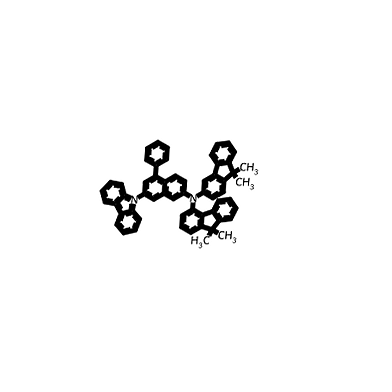 CC1(C)c2ccccc2-c2cc(N(c3ccc4c(-c5ccccc5)cc(-n5c6ccccc6c6ccccc65)cc4c3)c3cccc4c3-c3ccccc3C4(C)C)ccc21